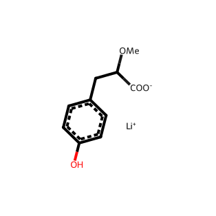 COC(Cc1ccc(O)cc1)C(=O)[O-].[Li+]